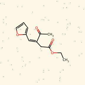 CCOC(=O)C/C(=C/c1ccco1)C(C)=O